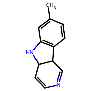 Cc1ccc2c(c1)NC1C=CN=CC21